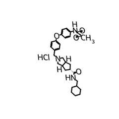 CS(=O)(=O)Nc1ccc(Oc2ccc(CN3C[C@H]4C[C@H](C(=O)NCC5CCCCC5)C[C@H]4C3)cc2)cc1.Cl